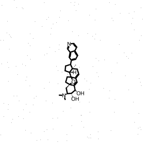 CN(C)[C@H]1C[C@@]23CCC4(O2)C(=CC[C@]2(C)C(c5ccc6ccncc6c5)CC[C@@H]42)C=C3[C@@H](O)[C@@H]1O